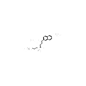 COc1ccc2cc([C@H](CCC(=O)N(C)CCCO[N+](=O)[O-])C(=O)O)ccc2c1